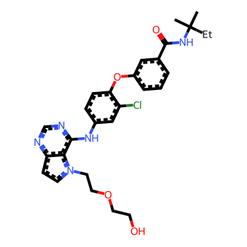 CCC(C)(C)NC(=O)c1cccc(Oc2ccc(Nc3ncnc4ccn(CCOCCO)c34)cc2Cl)c1